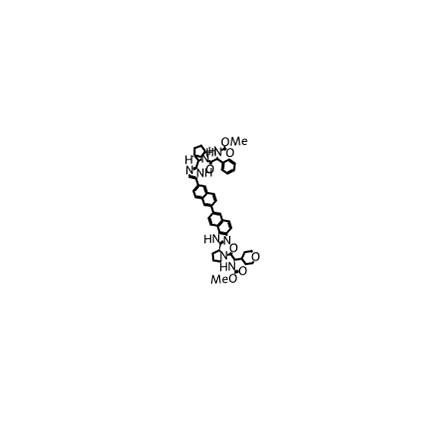 COC(=O)N[C@H](C(=O)N1CCC[C@H]1c1nc2ccc3cc(-c4ccc5cc(-c6cnc(C7[C@H]8CC[C@H](C8)N7C(=O)[C@H](NC(=O)OC)c7ccccc7)[nH]6)ccc5c4)ccc3c2[nH]1)C1CCOCC1